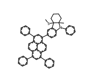 CSC12CCCCC1(C)N(c1ccccc1)c1ccc(-c3cc(-c4ccccc4)c4ccc5c(-c6ccccc6)cc(-c6ccccc6)c6ccc3c4c56)cc12